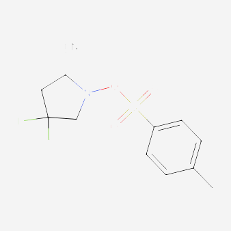 Cc1ccc(S(=O)(=O)ON2CC(F)(F)C[C@@H]2C#N)cc1